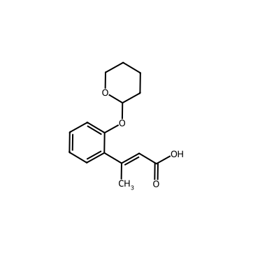 CC(=CC(=O)O)c1ccccc1OC1CCCCO1